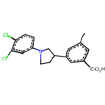 Cc1cc(C(=O)O)cc(C2CCN(c3ccc(Cl)c(Cl)c3)C2)c1